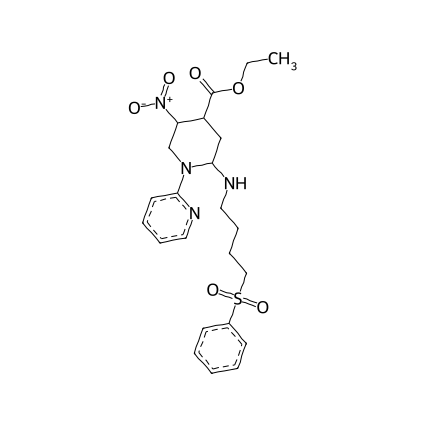 CCOC(=O)C1CC(NCCCCS(=O)(=O)c2ccccc2)N(c2ccccn2)CC1[N+](=O)[O-]